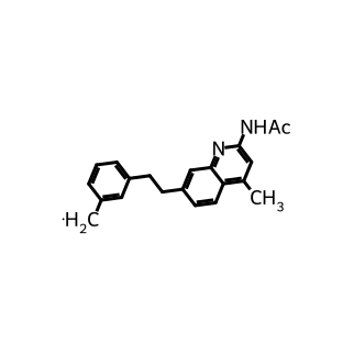 [CH2]c1cccc(CCc2ccc3c(C)cc(NC(C)=O)nc3c2)c1